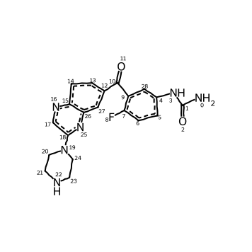 NC(=O)Nc1ccc(F)c(C(=O)c2ccc3ncc(N4CCNCC4)nc3c2)c1